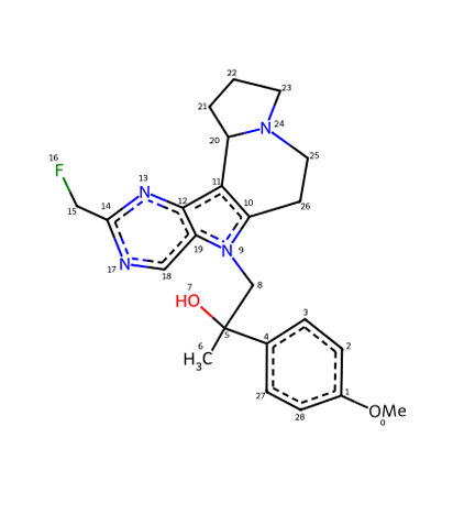 COc1ccc(C(C)(O)Cn2c3c(c4nc(CF)ncc42)C2CCCN2CC3)cc1